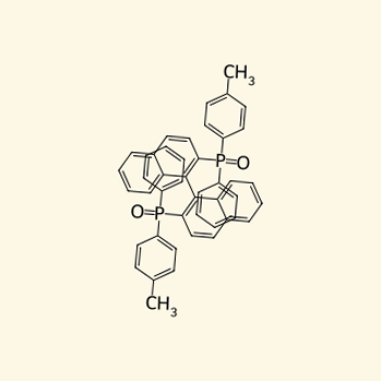 Cc1ccc(P(=O)(c2ccccc2)c2ccc3ccccc3c2-c2c(P(=O)(c3ccccc3)c3ccc(C)cc3)ccc3ccccc23)cc1